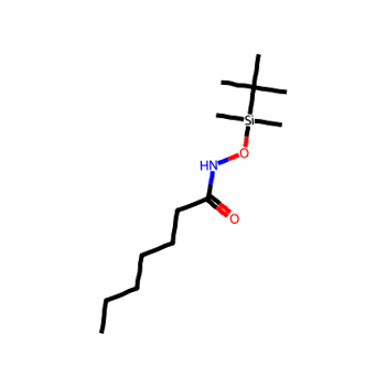 CCCCCCC(=O)NO[Si](C)(C)C(C)(C)C